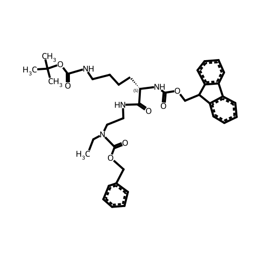 CCN(CCNC(=O)[C@H](CCCCNC(=O)OC(C)(C)C)NC(=O)OCC1c2ccccc2-c2ccccc21)C(=O)OCc1ccccc1